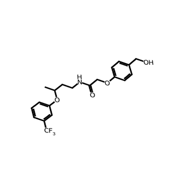 CC(CCNC(=O)COc1ccc(CO)cc1)Oc1cccc(C(F)(F)F)c1